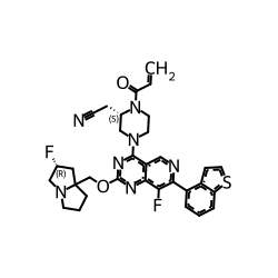 C=CC(=O)N1CCN(c2nc(OCC34CCCN3C[C@H](F)C4)nc3c(F)c(-c4cccc5sccc45)ncc23)C[C@@H]1CC#N